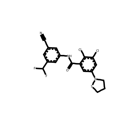 N#Cc1cc(NC(=O)c2cc(N3CCCS3)cc(Cl)c2Cl)cc(C(F)F)c1